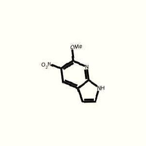 COc1nc2[nH]ccc2cc1[N+](=O)[O-]